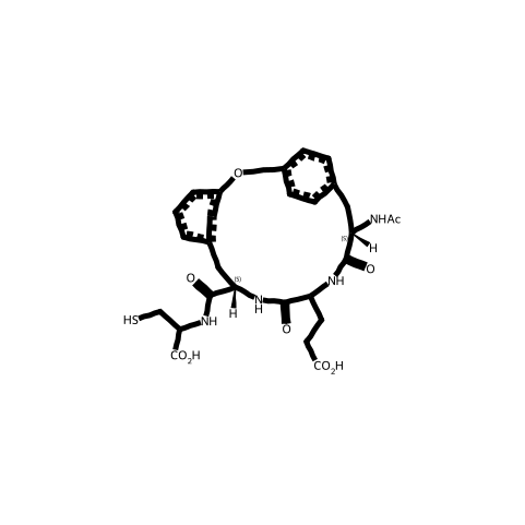 CC(=O)N[C@H]1Cc2ccc(cc2)Oc2cccc(c2)C[C@@H](C(=O)NC(CS)C(=O)O)NC(=O)C(CCC(=O)O)NC1=O